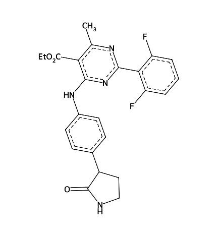 CCOC(=O)c1c(C)nc(-c2c(F)cccc2F)nc1Nc1ccc(C2CCNC2=O)cc1